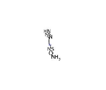 CNc1cnc(C#C/C=C/c2nc3ccc(N)cc3s2)cn1